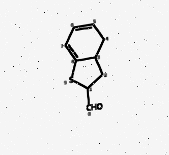 O=CC1CC2CC=CC=C2S1